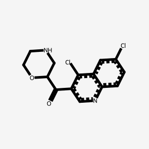 O=C(c1cnc2ccc(Cl)cc2c1Cl)C1CNCCO1